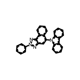 c1ccc(-n2nc3cc(-n4c5ccccc5c5ccccc54)c4ccccc4c3n2)cc1